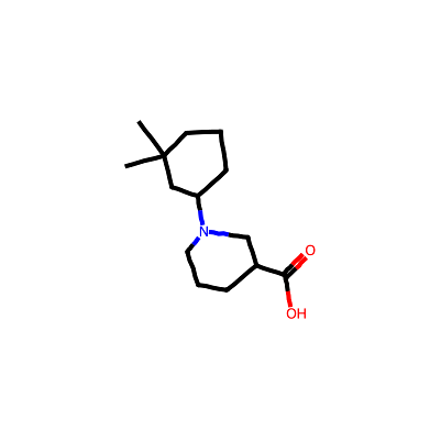 CC1(C)CCCC(N2CCCC(C(=O)O)C2)C1